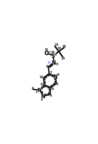 Cn1ncc2cnc(/C=N/[S+]([O-])C(C)(C)C)cc21